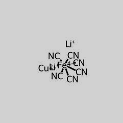 N#[C][Fe-4]([C]#N)([C]#N)([C]#N)([C]#N)[C]#N.[Cu+2].[Li+].[Li+]